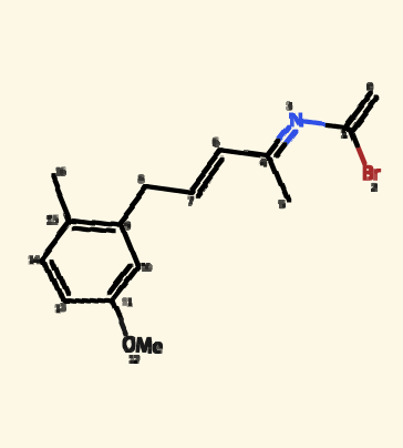 C=C(Br)/N=C(C)/C=C/Cc1cc(OC)ccc1C